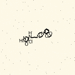 O=c1[nH]ncc(NCCCN2CCN(c3cccc4c3OCCO4)CC2)c1Cl